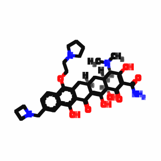 CN(C)[C@@H]1C(O)=C(C(N)=O)C(=O)[C@@]2(O)C(O)=C3C(=O)c4c(c(OCCN5CCCC5)c5ccc(CN6CCC6)cc5c4O)C[C@H]3C[C@@H]12